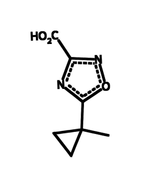 CC1(c2nc(C(=O)O)no2)CC1